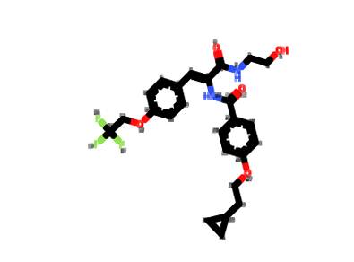 O=C(NCCO)C(=Cc1ccc(OCC(F)(F)F)cc1)NC(=O)c1ccc(OCCC2CC2)cc1